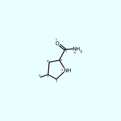 CC1CNC(C(N)=O)C1